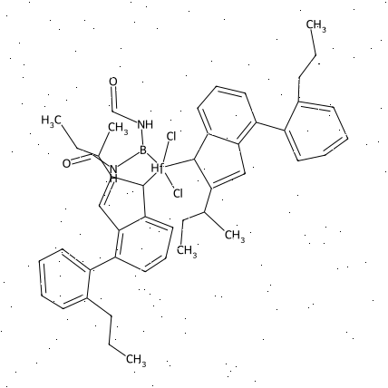 CCCc1ccccc1-c1cccc2c1C=C(C(C)CC)[CH]2[Hf]([Cl])([Cl])([B](NC=O)NC=O)[CH]1C(C(C)CC)=Cc2c(-c3ccccc3CCC)cccc21